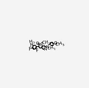 CCn1c(=O)c(-c2cc(N)c(F)cc2F)cc2cnc(N(C)Cc3ccc(OC)cc3)cc21